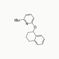 CC(C)(C)c1cccc(OC2CCCc3ccccc32)n1